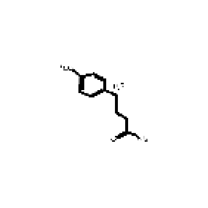 Cc1ccc(CCCC(N)=O)cc1.O